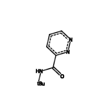 CC(C)(C)NC(=O)c1cccnn1